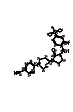 CS(=O)(=O)c1ccc(N[C@H]2CCN(C3CCN(c4cnc(C#N)cn4)CC3)C2=O)c(F)c1